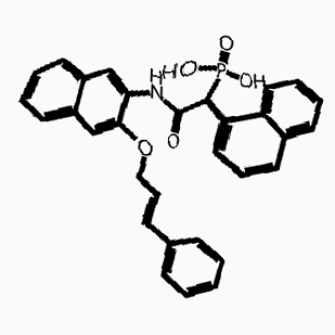 O=C(Nc1cc2ccccc2cc1OCC=Cc1ccccc1)C(c1cccc2ccccc12)P(=O)(O)O